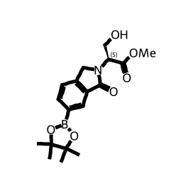 COC(=O)[C@H](CO)N1Cc2ccc(B3OC(C)(C)C(C)(C)O3)cc2C1=O